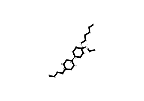 CCCCCC[C@]1(OCC)CC[C@@H](C2CCC(CCCC)CC2)CC1